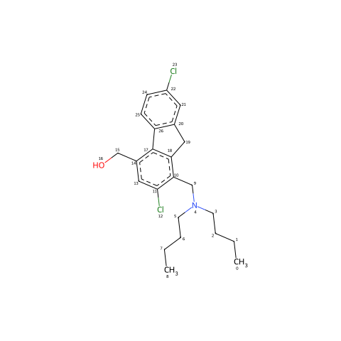 CCCCN(CCCC)Cc1c(Cl)cc(CO)c2c1Cc1cc(Cl)ccc1-2